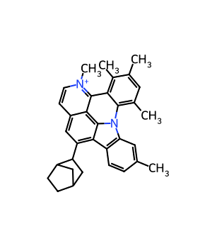 Cc1ccc2c3c(C4CC5CCC4C5)cc4cc[n+](C)c5c6c(C)c(C)cc(C)c6n(c2c1)c3c45